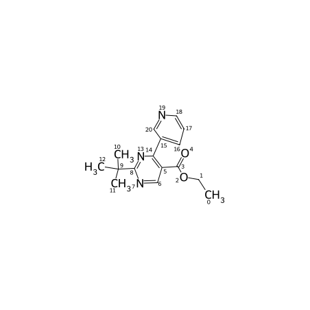 CCOC(=O)c1cnc(C(C)(C)C)nc1-c1cccnc1